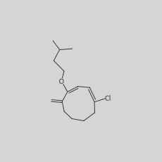 C=C1CCCC/C(Cl)=C\C=C/1OCCC(C)C